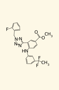 COC(=O)c1ccc(Nc2cccc(C(C)(F)F)c2)c(-c2nnn(Cc3ccccc3F)n2)c1